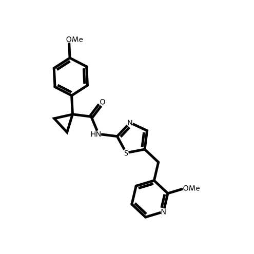 COc1ccc(C2(C(=O)Nc3ncc(Cc4cccnc4OC)s3)CC2)cc1